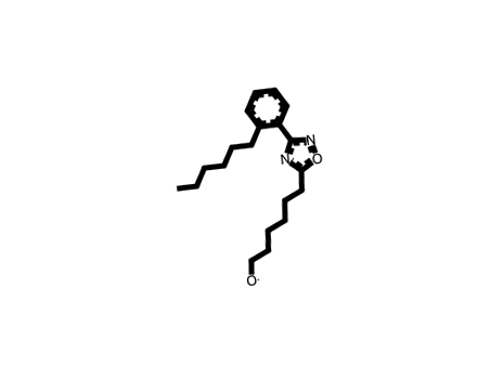 CCCCCCc1ccccc1-c1noc(CCCCCC[O])n1